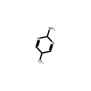 NC1N=C[C](C(F)(F)F)C=N1